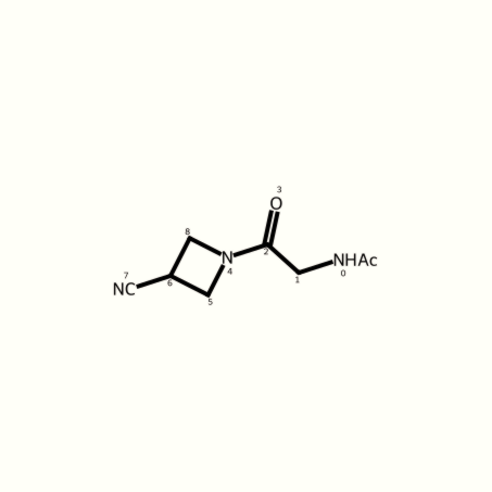 CC(=O)NCC(=O)N1CC(C#N)C1